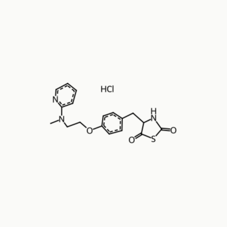 CN(CCOc1ccc(CC2NC(=O)SC2=O)cc1)c1ccccn1.Cl